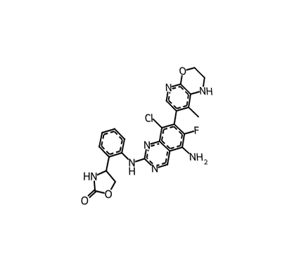 Cc1c(-c2c(F)c(N)c3cnc(Nc4ccccc4C4COC(=O)N4)nc3c2Cl)cnc2c1NCCO2